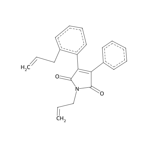 C=CCc1ccccc1C1=C(c2ccccc2)C(=O)N(CC=C)C1=O